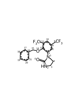 O=C1NCCN1c1cc(C(F)(F)F)cc(C(F)(F)F)c1OCc1ccccc1